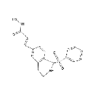 O=C(C=Cc1ccc2c(c1)CCNC2S(=O)(=O)c1ccccc1)NO